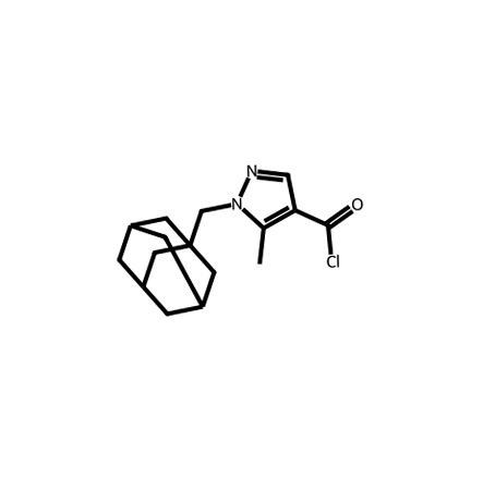 Cc1c(C(=O)Cl)cnn1CC12CC3CC(CC(C3)C1)C2